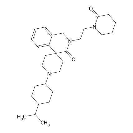 CC(C)C1CCC(N2CCC3(CC2)C(=O)N(CCN2CCCCC2=O)Cc2ccccc23)CC1